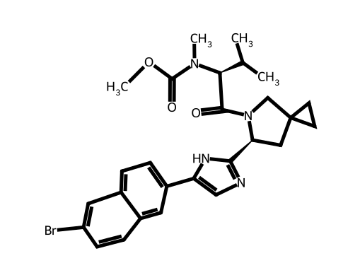 COC(=O)N(C)[C@H](C(=O)N1CC2(CC2)C[C@H]1c1ncc(-c2ccc3cc(Br)ccc3c2)[nH]1)C(C)C